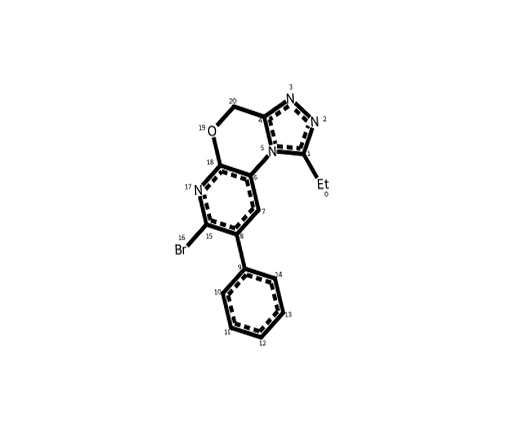 CCc1nnc2n1-c1cc(-c3ccccc3)c(Br)nc1OC2